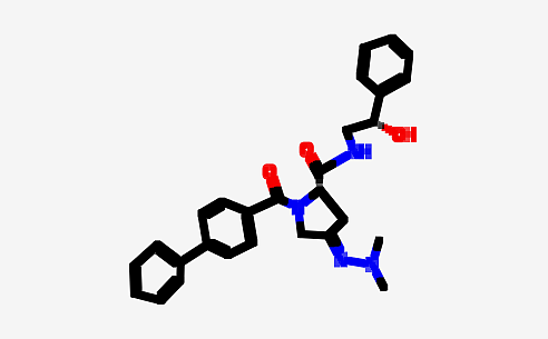 CN(C)/N=C1\C[C@@H](C(=O)NC[C@@H](O)c2ccccc2)N(C(=O)c2ccc(-c3ccccc3)cc2)C1